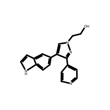 OCCn1cc(-c2ccc3[nH]ccc3c2)c(-c2ccncc2)n1